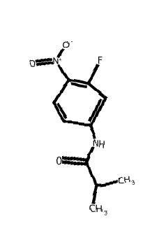 CC(C)C(=O)Nc1ccc([N+](=O)[O-])c(F)c1